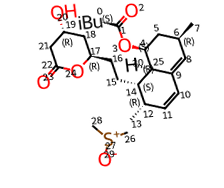 CC[C@H](C)C(=O)O[C@H]1C[C@@H](C)C=C2C=C[C@H](C)[C@H](CC[C@@H]3C[C@@H](O)CC(=O)O3)[C@H]21.C[S+](C)[O-]